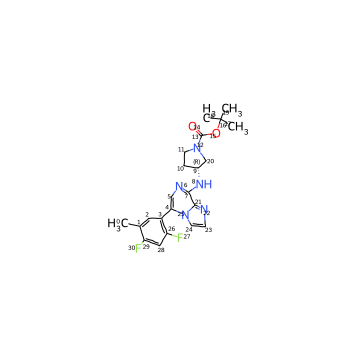 Cc1cc(-c2cnc(N[C@@H]3CCN(C(=O)OC(C)(C)C)C3)c3nccn23)c(F)cc1F